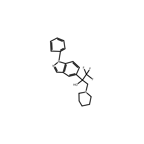 OC(CN1CCCCC1)(c1ccc2c(cnn2-c2ccccc2)c1)C(F)(F)F